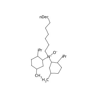 CCCCCCCCCCCCCCCC[N+]([O-])(C1CC(C)CCC1C(C)C)C1CC(C)CCC1C(C)C